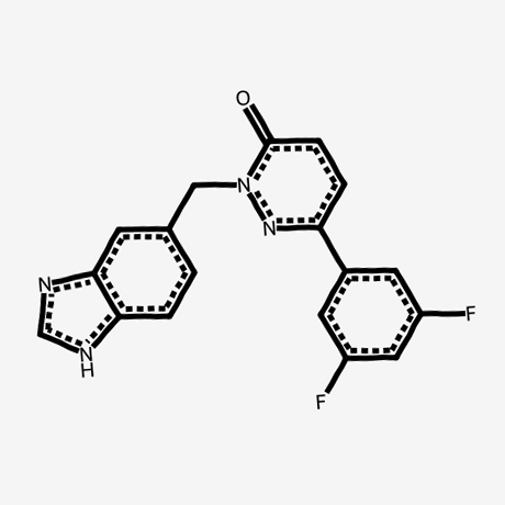 O=c1ccc(-c2cc(F)cc(F)c2)nn1Cc1ccc2[nH]cnc2c1